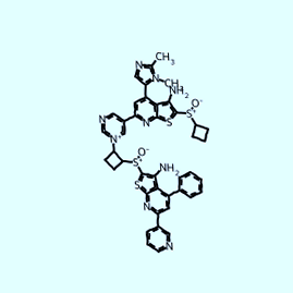 Cc1ncc(-c2cc(-c3cnc[n+](C4CCC4[S+]([O-])c4sc5nc(-c6cccnc6)cc(-c6ccccc6)c5c4N)c3)nc3sc([S+]([O-])C4CCC4)c(N)c23)n1C